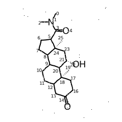 CN(C)C(=O)C1CCC2C3CCC4CC(=O)CC[C@]4(C)C3[C@@H](O)C[C@]12C